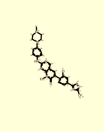 CCn1c(=O)c(-c2ccc(-c3noc(C(F)(F)F)n3)cc2Cl)cc2cnc(Nc3ccc(N4CCN(C)CC4)cc3)nc21